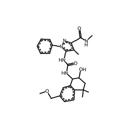 CNC(=O)c1nn(-c2ccccc2)c(NC(=O)NC2c3cc(COC)ccc3C(C)(C)CC2O)c1C